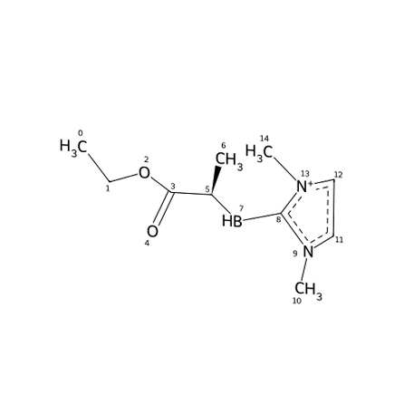 CCOC(=O)[C@@H](C)Bc1n(C)cc[n+]1C